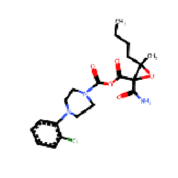 CCCCC1(C)OC1(C(N)=O)C(=O)OC(=O)N1CCN(c2ccccc2Cl)CC1